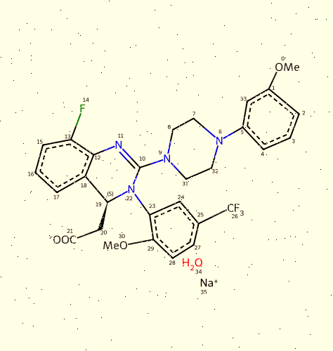 COc1cccc(N2CCN(C3=Nc4c(F)cccc4[C@H](CC(=O)[O-])N3c3cc(C(F)(F)F)ccc3OC)CC2)c1.O.[Na+]